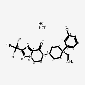 Cl.Cl.NC[C@]1(c2cccc(Cl)c2)CC[C@H](N2CCn3nc(C(F)(F)F)nc3C2=O)CC1